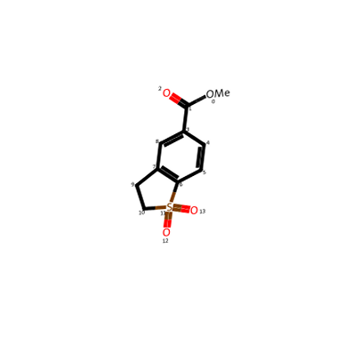 COC(=O)c1ccc2c(c1)CCS2(=O)=O